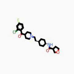 O=C(N[C@H]1CC[C@H](CCN2CCC(C(=O)c3ccc(F)cc3Cl)CC2)CC1)C1CCOC1